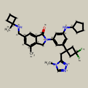 Cn1cnnc1CC1(c2cc(NC3CCCC3)cc(N3Cc4c(cc(CNC5(C)CCC5)cc4C(F)(F)F)C3=O)c2)CC(F)(F)C1